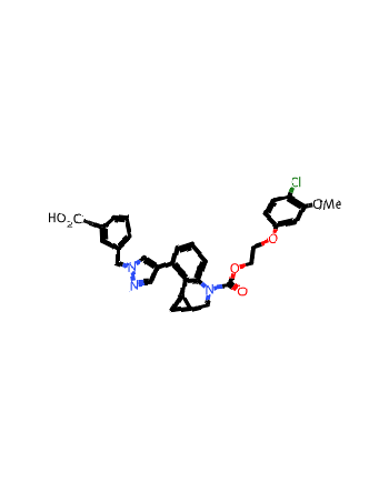 COc1cc(OCCOC(=O)N2CC3CC3c3c(-c4cnn(Cc5cccc(C(=O)O)c5)c4)cccc32)ccc1Cl